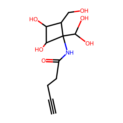 C#CCCC(=O)NC1(C(O)O)C(O)C(O)C1CO